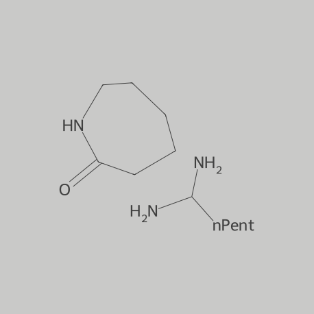 CCCCCC(N)N.O=C1CCCCCN1